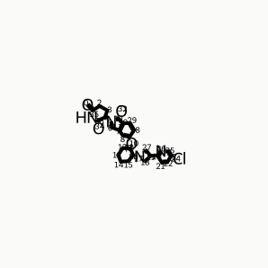 O=C1CCC(N2Cc3cc(O[C@H]4CCCC[C@H]4N4CC(c5ccc(Cl)cn5)C4)ccc3C2=O)C(=O)N1